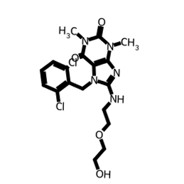 Cn1c(=O)c2c(nc(NCCOCCO)n2Cc2c(Cl)cccc2Cl)n(C)c1=O